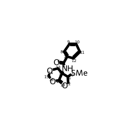 CSC(C)C1(NC(=O)c2ccccc2)COCOC1=O